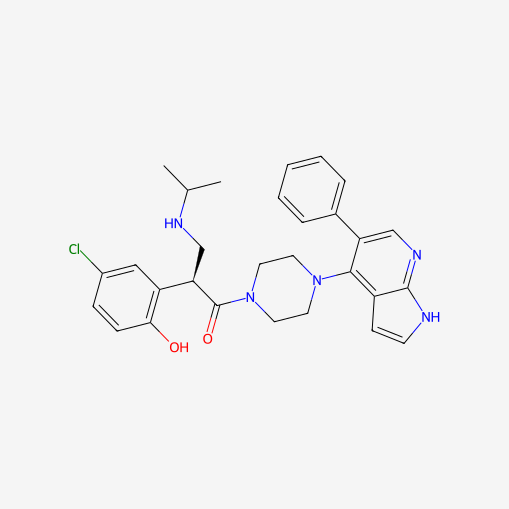 CC(C)NC[C@@H](C(=O)N1CCN(c2c(-c3ccccc3)cnc3[nH]ccc23)CC1)c1cc(Cl)ccc1O